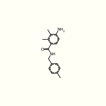 Cc1ccc(CNC(=O)c2ccc(N)c(C)c2C)cc1